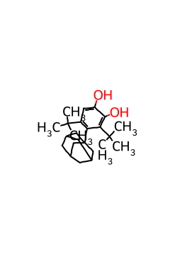 CC(C)(C)c1cc(O)c(O)c(C(C)(C)C)c1C12CC3CC(CC(C3)C1)C2